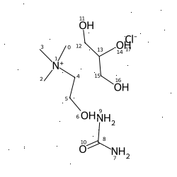 C[N+](C)(C)CCO.NC(N)=O.OCC(O)CO.[Cl-]